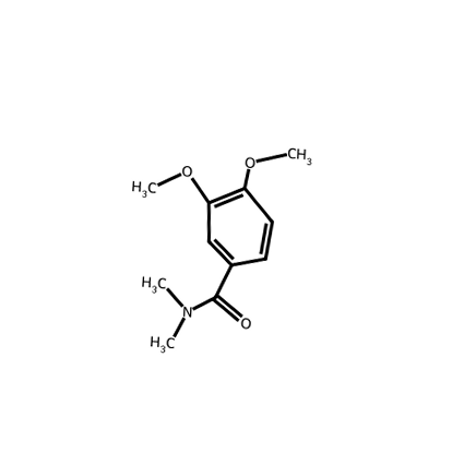 COc1ccc(C(=O)N(C)C)cc1OC